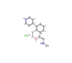 CCNC[C@H]1OCCc2c(-c3ccncc3)cccc21.Cl